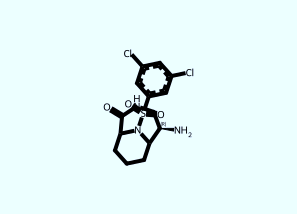 N[C@@H]1CNC(=O)C2CCCC1N2S(=O)(=O)c1cc(Cl)cc(Cl)c1